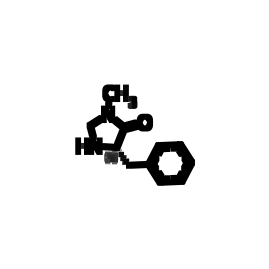 CN1CN[C@@H](Cc2ccccc2)C1=O